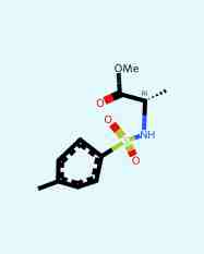 COC(=O)[C@H](C)NS(=O)(=O)c1ccc(C)cc1